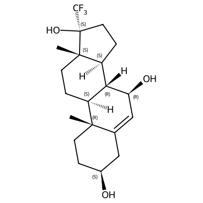 C[C@]12CC[C@H](O)CC1=C[C@H](O)[C@@H]1[C@@H]2CC[C@@]2(C)[C@H]1CC[C@@]2(O)C(F)(F)F